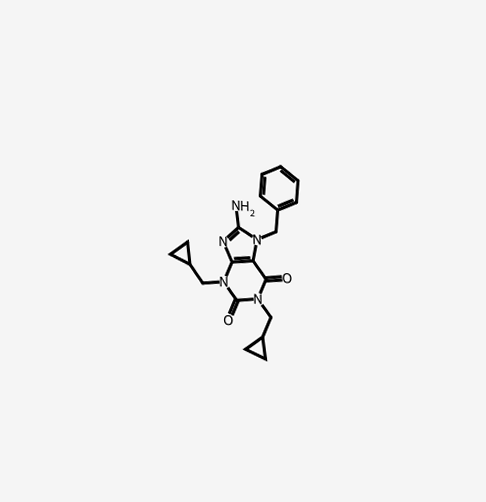 Nc1nc2c(c(=O)n(CC3CC3)c(=O)n2CC2CC2)n1Cc1ccccc1